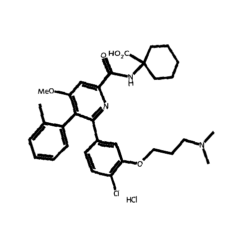 COc1cc(C(=O)NC2(C(=O)O)CCCCC2)nc(-c2ccc(Cl)c(OCCCN(C)C)c2)c1-c1ccccc1C.Cl